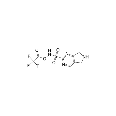 O=C(ONS(=O)(=O)c1ncc2c(n1)CNC2)C(F)(F)F